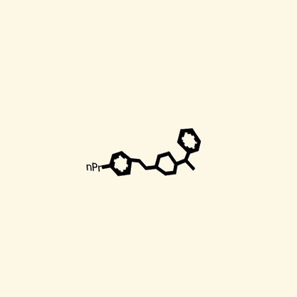 CCCc1ccc(CCC2CCC(C(C)c3ccccc3)CC2)cc1